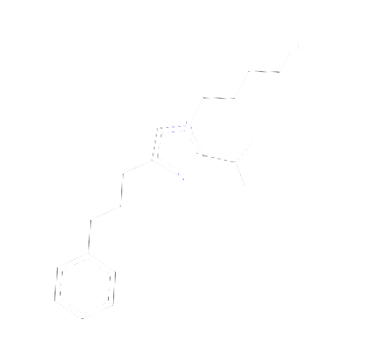 CCCCCn1cc(CCCc2ccccc2)nc1C(C)C